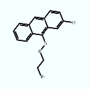 CCc1ccc2cc3ccccc3c(OOCCC(C)C)c2c1